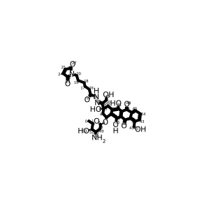 CC1O[C@@H](OC2C[C@](O)(/C(CO)=N/NC(=O)CCCCCN3C(=O)C=CC3=O)Cc3c(O)c4c(c(O)c32)C(=O)c2c(CO)cccc2C4=O)CC(N)[C@H]1O